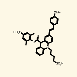 COc1ccc(C=Cc2ccc3c(c2)C(C(=O)Oc2c(C)cc(C(=O)O)cc2C)c2ccccc2N3CCCCS(=O)(=O)O)cc1